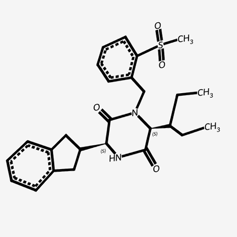 CCC(CC)[C@H]1C(=O)N[C@@H](C2Cc3ccccc3C2)C(=O)N1Cc1ccccc1S(C)(=O)=O